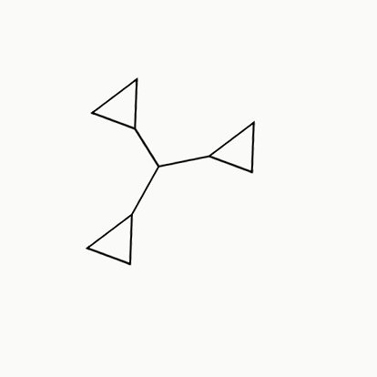 C1CC1C(C1CC1)C1CC1